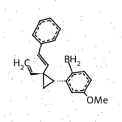 Bc1ccc(OC)cc1[C@@H]1C[C@]1(C=C)/C=C/c1ccccc1